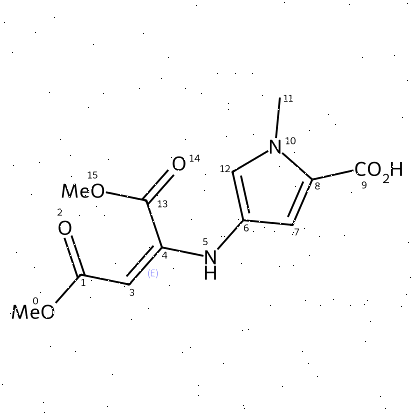 COC(=O)/C=C(/Nc1cc(C(=O)O)n(C)c1)C(=O)OC